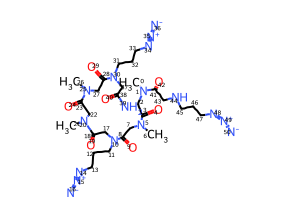 CN(CC(=O)N(C)CC(=O)N(CCCN=[N+]=[N-])CC(=O)N(C)CC(=O)N(C)CC(=O)N(CCCN=[N+]=[N-])CC(N)=O)C(=O)CNCCCN=[N+]=[N-]